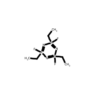 CCP1(F)=NP(F)(CC)=NP(F)(CC)=N1